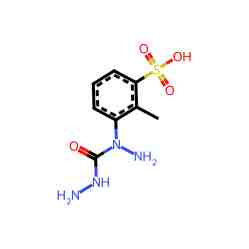 Cc1c(N(N)C(=O)NN)cccc1S(=O)(=O)O